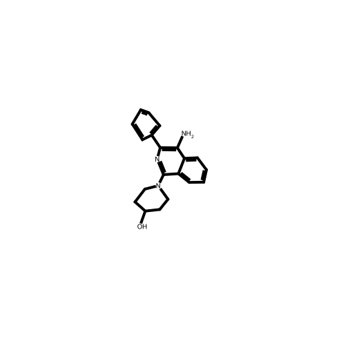 Nc1c(-c2ccccc2)nc(N2CCC(O)CC2)c2ccccc12